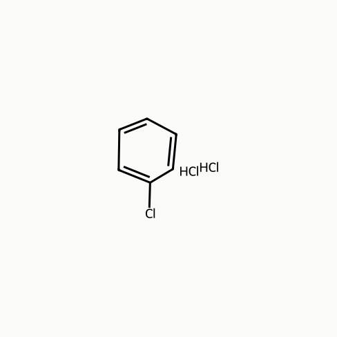 Cl.Cl.Clc1ccccc1